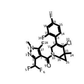 Cn1nc(C(F)F)c(C(=O)N2CC(c3ccc(F)cc3F)=C(Cl)C3(C)CC23)c1F